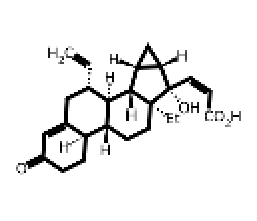 C=C[C@H]1CC2=CC(=O)CC[C@@H]2[C@H]2CC[C@@]3(CC)[C@@H]([C@@H]4C[C@@H]4[C@@]3(O)/C=C\C(=O)O)[C@@H]21